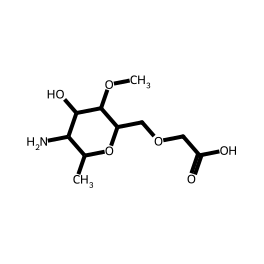 COC1C(COCC(=O)O)OC(C)C(N)C1O